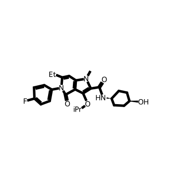 CCc1cc2c(c(OC(C)C)c(C(=O)N[C@H]3CC[C@H](O)CC3)n2C)c(=O)n1-c1ccc(F)cc1